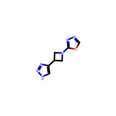 c1nnc(N2CC(c3c[nH]nn3)C2)o1